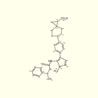 CC(OC(=O)Nc1c(-c2ccc(C3CCC4(CC3)CC4C(=O)O)cc2)cnn1C)c1ccccc1